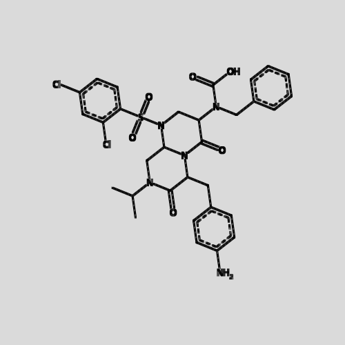 CC(C)N1CC2N(C(=O)C(N(Cc3ccccc3)C(=O)O)CN2S(=O)(=O)c2ccc(Cl)cc2Cl)C(Cc2ccc(N)cc2)C1=O